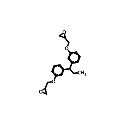 C[C]C(c1cccc(OCC2CO2)c1)c1cccc(OCC2CO2)c1